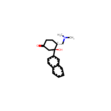 CN(C)C[C@H]1CCC(=O)C[C@@]1(O)c1ccc2ccccc2c1